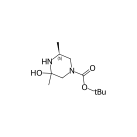 C[C@H]1CN(C(=O)OC(C)(C)C)CC(C)(O)N1